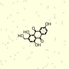 O=C1c2ccc(O)cc2C(=O)c2c(O)c(CO)cc(O)c21